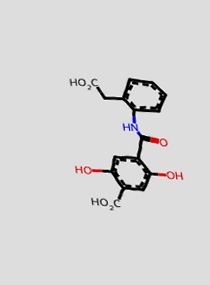 O=C(O)Cc1ccccc1NC(=O)c1cc(O)c(C(=O)O)cc1O